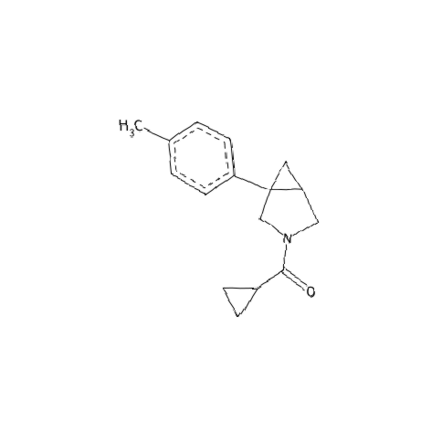 Cc1ccc(C23CC2CN(C(=O)C2CC2)C3)cc1